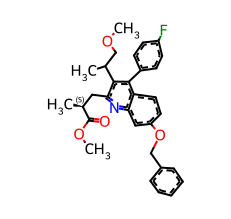 COCC(C)c1c(C[C@H](C)C(=O)OC)nc2cc(OCc3ccccc3)ccc2c1-c1ccc(F)cc1